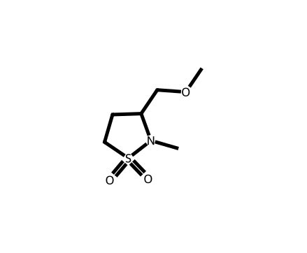 COCC1CCS(=O)(=O)N1C